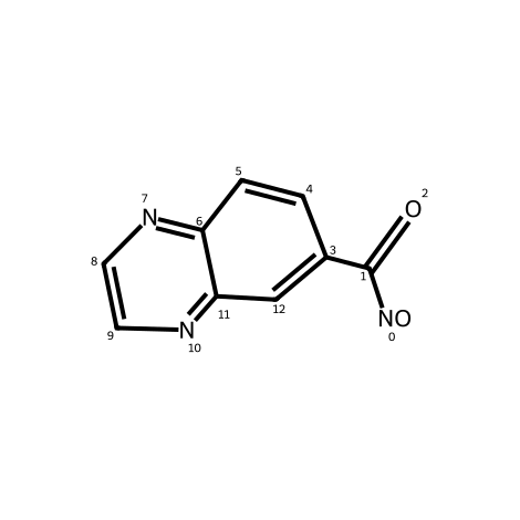 O=NC(=O)c1ccc2nccnc2c1